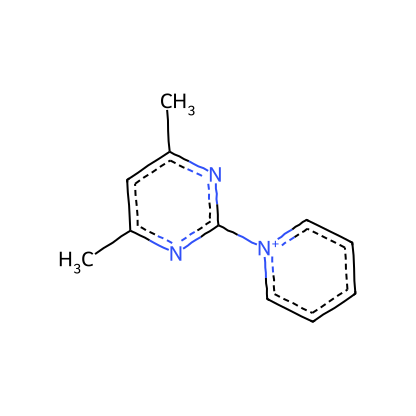 Cc1cc(C)nc(-[n+]2ccccc2)n1